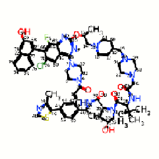 C=CC(=O)N1CCN(c2nc(OC(C)CN3CCC(CN4CCN(CC(=O)NC(C(=O)N5C[C@H](O)C[C@H]5C(=O)NC(C)c5ccc(-c6scnc6C)cc5)C(C)(C)C)CC4)CC3)nc3c(F)c(-c4cc(O)cc5ccccc45)c(Cl)cc23)CC1